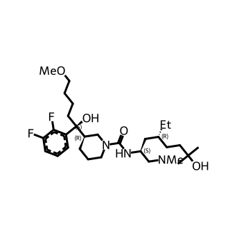 CC[C@H](CCC(C)(C)O)C[C@@H](CNC)NC(=O)N1CCC[C@@H]([C@@](O)(CCCCOC)c2cccc(F)c2F)C1